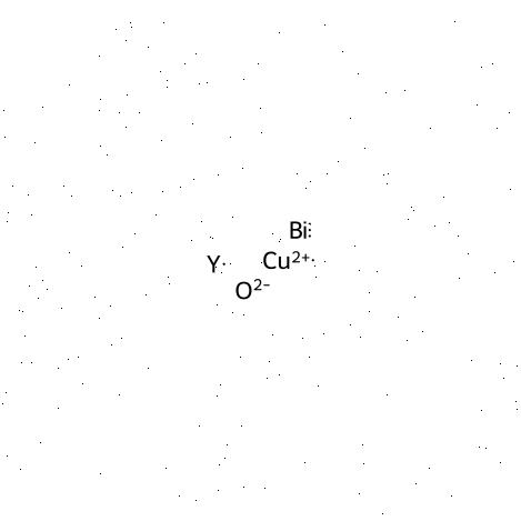 [Bi].[Cu+2].[O-2].[Y]